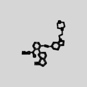 COC(=O)c1cccc(C#Cc2ccc3ccn(CCN4CCOCC4)c3c2)c1-c1ccc2cc[nH]c2c1